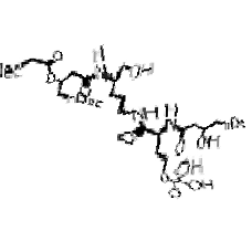 CCCCCCCCCCCC(=O)OC(CCCCCCCCCCC)CC(=O)NC(CO)CCCNC(=O)C(CCOP(=O)(O)O)NC(=O)CC(O)CCCCCCCCCCC